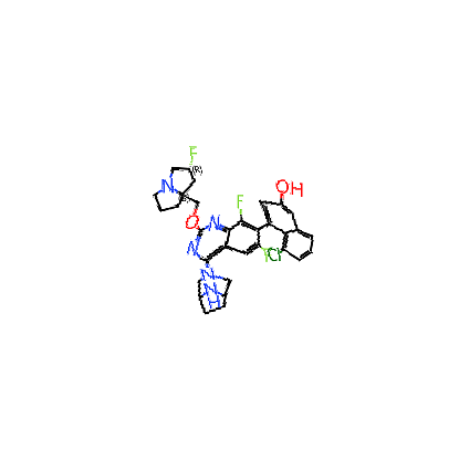 Oc1cc(-c2c(F)cc3c(N4CC5CCC(C4)N5)nc(OC[C@@]45CCCN4C[C@H](F)C5)nc3c2F)c2c(Cl)cccc2c1